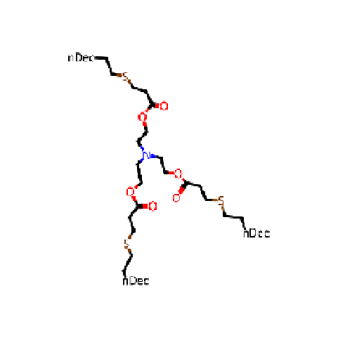 CCCCCCCCCCCCSCCC(=O)OCCN(CCOC(=O)CCSCCCCCCCCCCCC)CCOC(=O)CCSCCCCCCCCCCCC